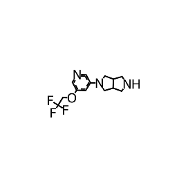 FC(F)(F)COc1cncc(N2CC3CNCC3C2)c1